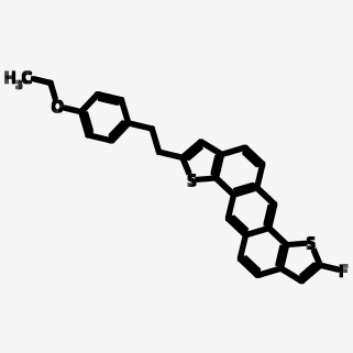 CCOc1ccc(CCc2cc3ccc4cc5c(ccc6cc(F)sc65)cc4c3s2)cc1